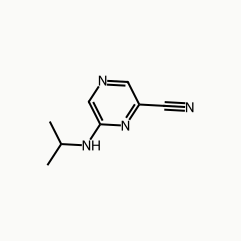 CC(C)Nc1cncc(C#N)n1